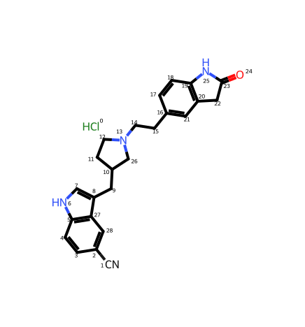 Cl.N#Cc1ccc2[nH]cc(CC3CCN(CCc4ccc5c(c4)CC(=O)N5)C3)c2c1